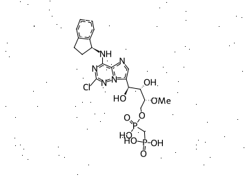 CO[C@H](COP(=O)(O)CP(=O)(O)O)[C@@H](O)[C@@H](O)c1cnc2c(N[C@H]3CCc4ccccc43)nc(Cl)nn12